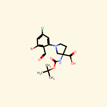 CC(C)(C)OC(=O)N[C@]1(C(=O)O)CCN(c2cc(Cl)cc(Br)c2C=O)C1